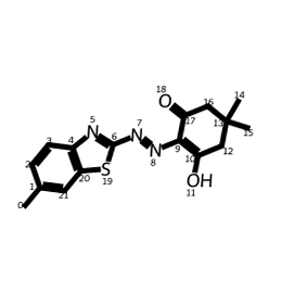 Cc1ccc2nc(N=NC3=C(O)CC(C)(C)CC3=O)sc2c1